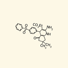 CCOC(=O)C1=C(N)NC2=C(C(=O)CC(C)(C)C2)C1c1ccc(S(=O)(=O)c2ccccc2)cc1